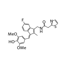 COc1cc(/C=C2/C(C)=C(CNC(=O)Cc3nccs3)c3cc(F)ccc32)cc(OC)c1O